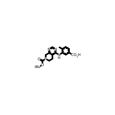 Cc1ccc(C(=O)O)cc1Nc1ncnc2c1CCN(C(=O)OC(C)(C)C)C2